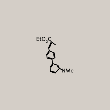 CCOC(=O)C(C)=Cc1ccc(-c2cccc(NC)c2)cc1